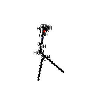 CCCCCCCCCCCCCCCC(=O)OCC(COP(=O)(O)OCCNC(=O)CCC/C=C/C(=O)NCCCC(O)(P(=O)(O)O)P(=O)(O)O)OC(=O)CCCCCCCCCCCCCCC